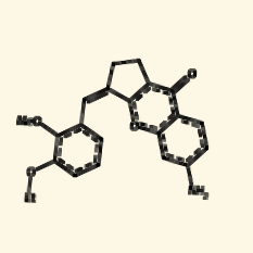 CCOc1cccc(/C=C2/CCc3c2oc2cc(N)ccc2c3=O)c1OC